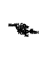 COCCOC[C@@]12C[C@@H](C(=O)Nc3nc(Br)ccc3C)N(C(=O)Cn3nc(C(C)=O)c4cc(-c5cnc(CO)nc5)cc(C)c43)[C@@H]1C2